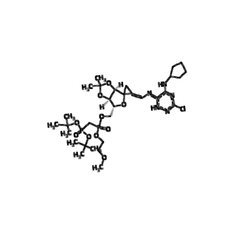 COCCOP(=O)(CP(=O)(OC(C)(C)C)OC(C)(C)C)OC[C@H]1OC2(C/C2=C\N=c2/[nH]nc(Cl)nc2NC2CCCC2)[C@@H]2OC(C)(C)O[C@@H]21